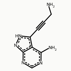 NCC#Cc1[nH]nc2ncnc(N)c12